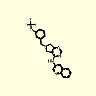 FC(F)(F)Oc1cccc(CN2Cc3ncnc(Nc4cnc5ccccc5c4)c3C2)c1